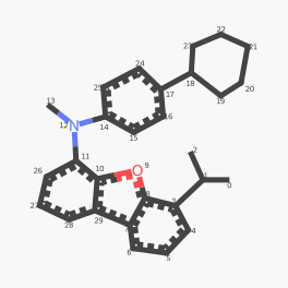 CC(C)c1cccc2c1oc1c(N(C)c3ccc(C4CCCCC4)cc3)cccc12